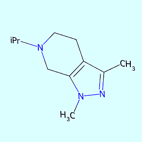 Cc1nn(C)c2c1CCN(C(C)C)C2